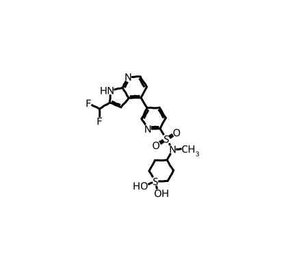 CN(C1CCS(O)(O)CC1)S(=O)(=O)c1ccc(-c2ccnc3[nH]c(C(F)F)cc23)cn1